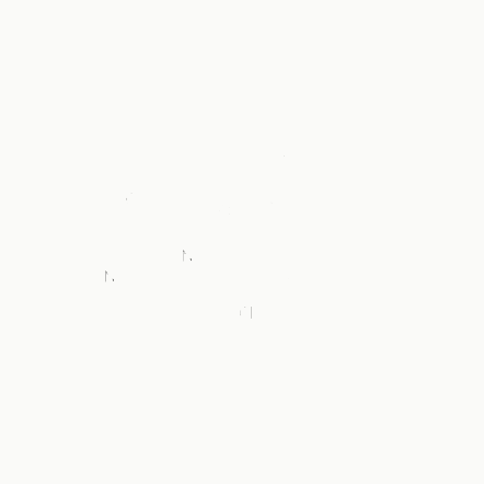 Cc1cnc(Cl)nc1Cl.O=C(c1ccccc1)C(F)(F)F